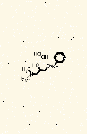 CN(C)CC(O)CONc1ccccc1.Cl.Cl